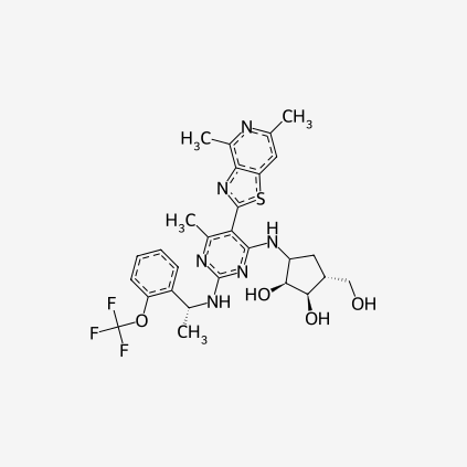 Cc1cc2sc(-c3c(C)nc(N[C@H](C)c4ccccc4OC(F)(F)F)nc3NC3C[C@H](CO)[C@@H](O)[C@H]3O)nc2c(C)n1